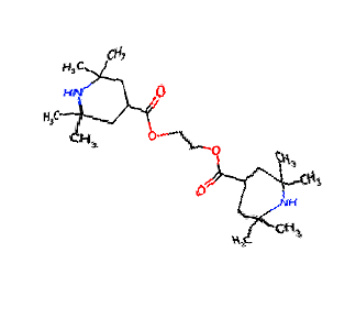 CC1(C)CC(C(=O)OCCOC(=O)C2CC(C)(C)NC(C)(C)C2)CC(C)(C)N1